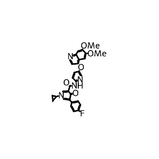 COc1cc2nccc(Oc3ccc(NC(=O)c4cn(C5CC5)cc(-c5ccc(F)cc5)c4=O)nc3)c2cc1OC